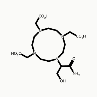 NC(=O)C(CO)N1CCN(CC(=O)O)CCN(CC(=O)O)CCN(CC(=O)O)CC1